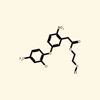 CCOCCOC(=O)Cc1cc(Oc2ccc(C(F)(F)F)cc2Cl)ccc1[N+](=O)[O-]